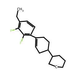 CCc1ccc(C2=CCC(C3CCCCC3)CC2)c(F)c1F